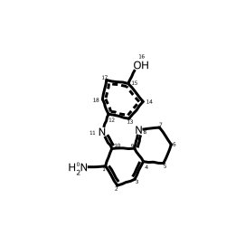 NC1=CC=C2CCCN=C2C1=Nc1ccc(O)cc1